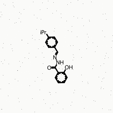 CC(C)c1ccc(/C=N/NC(=O)c2ccccc2O)cc1